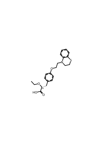 CCO[C@H](Cc1ccc(OCCN2CCSc3ccccc32)cc1)C(=O)O